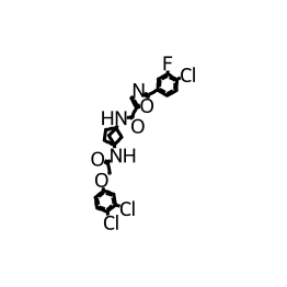 O=C(COc1ccc(Cl)c(Cl)c1)NC12CCC(NC(=O)c3cnc(-c4ccc(Cl)c(F)c4)o3)(C1)C2